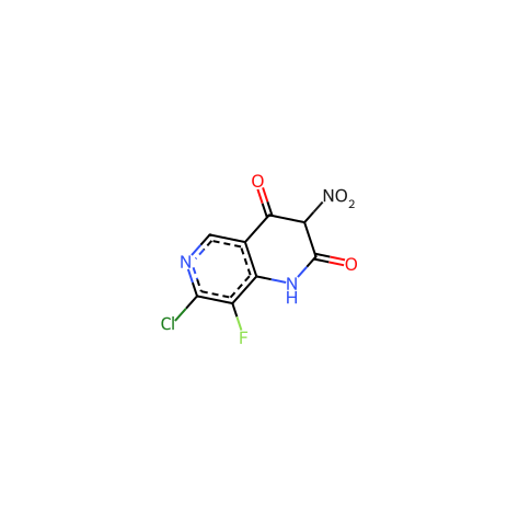 O=C1Nc2c(cnc(Cl)c2F)C(=O)C1[N+](=O)[O-]